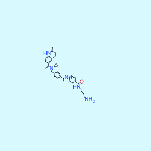 C=C1CCc2cc(C(=C)N(Cc3ccc(C(=C)Nc4ccc(C(=O)NCCCCN)cc4)cc3)C3CC3)ccc2N1